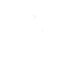 C#CCC[Si](C)(C)c1ccccn1